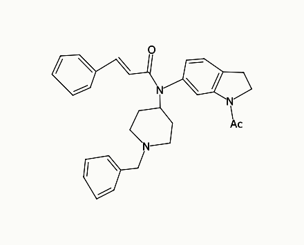 CC(=O)N1CCc2ccc(N(C(=O)C=Cc3ccccc3)C3CCN(Cc4ccccc4)CC3)cc21